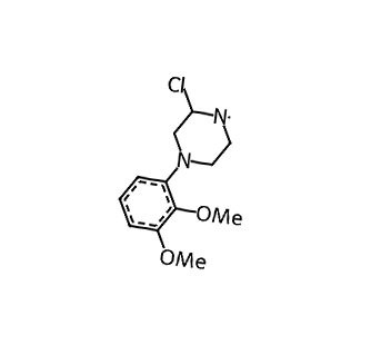 COc1cccc(N2CC[N]C(Cl)C2)c1OC